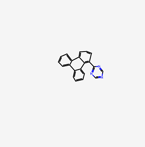 c1ccc2c(c1)c1ccccc1c1c(-c3ncncn3)cccc21